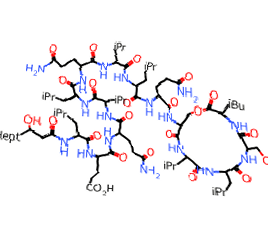 CCCCCCCC(O)CC(=O)NC(CC(C)C)C(=O)NC(CCC(=O)O)C(=O)NC(CCC(N)=O)C(=O)NC(C(=O)NC(CC(C)C)C(=O)NC(CCC(N)=O)C(=O)NC(C(=O)NC(CC(C)C)C(=O)NC(CCC(N)=O)C(=O)NC1COC(=O)C(C(C)CC)NC(=O)C(CO)NC(=O)C(CC(C)C)NC(=O)C(C(C)C)NC1=O)C(C)C)C(C)C